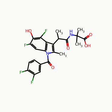 Cc1c(C(C)C(=O)NC(C)(C)C(=O)O)c2c(F)c(O)c(F)cc2n1C(=O)c1ccc(F)c(F)c1